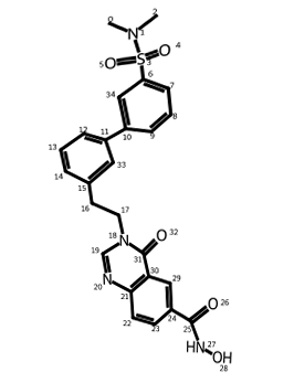 CN(C)S(=O)(=O)c1cccc(-c2cccc(CCn3cnc4ccc(C(=O)NO)cc4c3=O)c2)c1